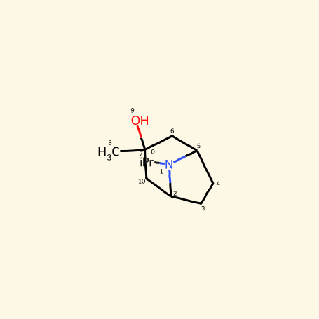 CC(C)N1C2CCC1CC(C)(O)C2